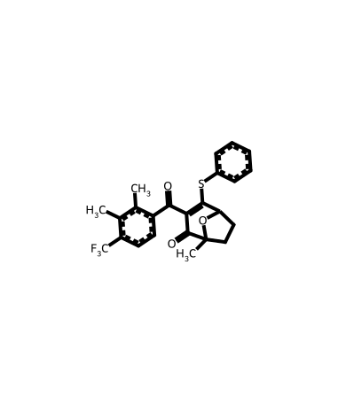 Cc1c(C(=O)C2=C(Sc3ccccc3)C3CCC(C)(O3)C2=O)ccc(C(F)(F)F)c1C